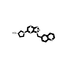 O[C@H]1CCN(c2cnc3nnn(Cc4ccc5ncccc5c4)c3n2)C1